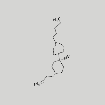 CCCCCC1CCC([C@]2(C#N)CC[C@@H](CCC)CC2)CC1